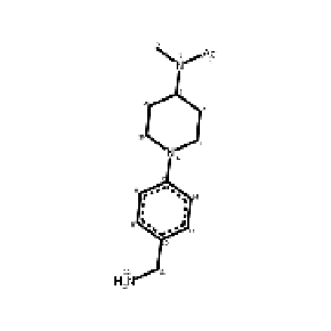 CC(=O)N(C)C1CCN(c2ccc(CN)cc2)CC1